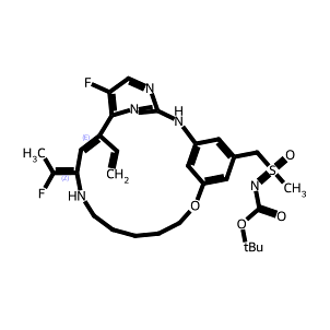 C=C/C1=C\C(=C(/C)F)NCCCCCOc2cc(CS(C)(=O)=NC(=O)OC(C)(C)C)cc(c2)Nc2ncc(F)c1n2